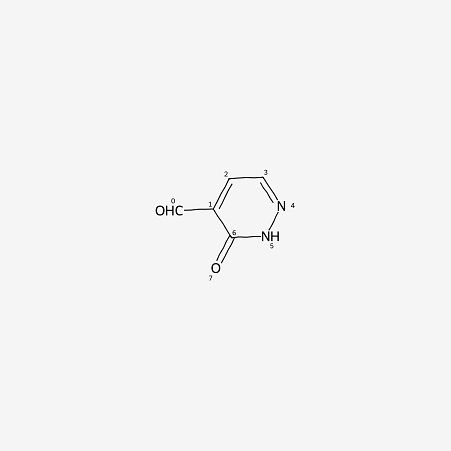 O=Cc1ccn[nH]c1=O